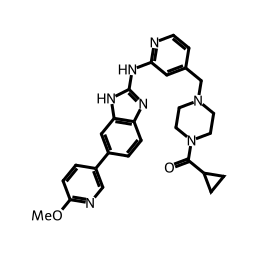 COc1ccc(-c2ccc3nc(Nc4cc(CN5CCN(C(=O)C6CC6)CC5)ccn4)[nH]c3c2)cn1